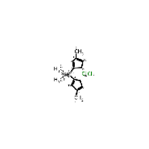 CC1=CC[C]([Hf+2]([C]2=CC(C)=CC2)=[Ge]([CH3])[CH3])=C1.[Cl-].[Cl-]